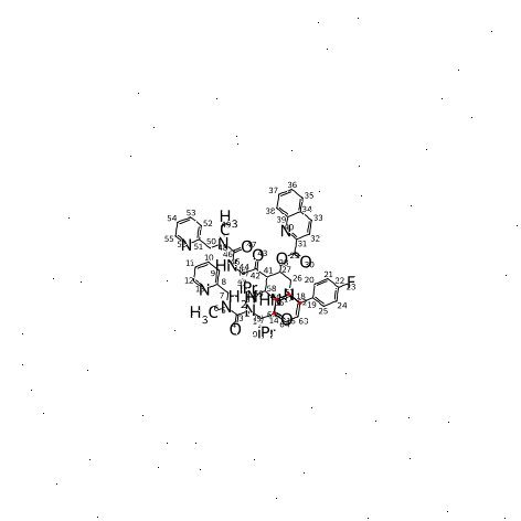 CC(C)[C@H](NC(=O)N(C)Cc1ccccn1)C(=O)NN(Cc1ccc(F)cc1)CC(OC(=O)c1ccc2ccccc2n1)C(C(=O)[C@@H](NC(=O)N(C)Cc1ccccn1)C(C)C)C(N)c1ccccc1